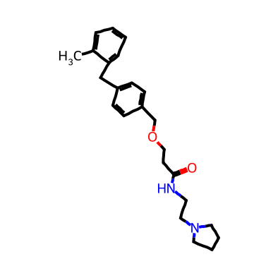 Cc1ccccc1Cc1ccc(COCCC(=O)NCCN2CCCC2)cc1